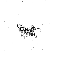 CSc1ccc(-c2cc(C)c3c(N)c(OC(N)=O)sc3n2)cc1